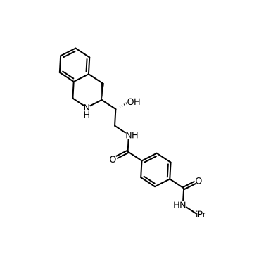 CC(C)NC(=O)c1ccc(C(=O)NC[C@@H](O)[C@@H]2Cc3ccccc3CN2)cc1